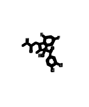 CNC(=O)CC1=C(C)[N+](O)(C(=O)c2ccc(Cl)c(Cl)c2)c2cc(F)cc(F)c21